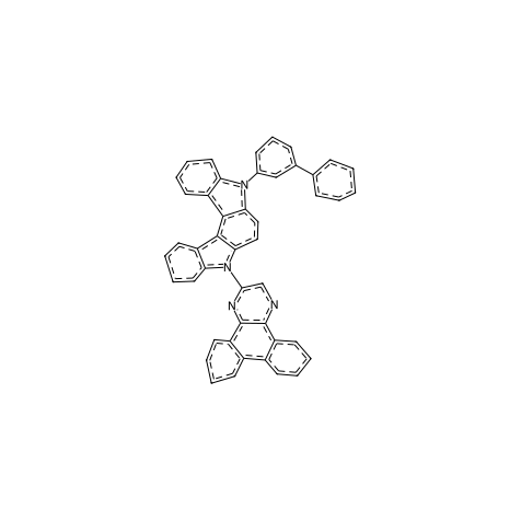 c1ccc(-c2cccc(-n3c4ccccc4c4c5c6ccccc6n(-c6cnc7c8ccccc8c8ccccc8c7n6)c5ccc43)c2)cc1